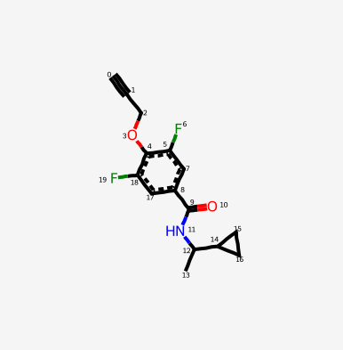 C#CCOc1c(F)cc(C(=O)NC(C)C2CC2)cc1F